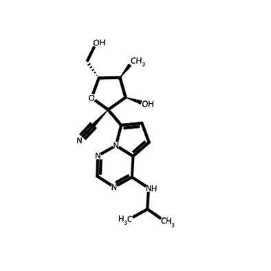 CC(C)Nc1ncnn2c([C@]3(C#N)O[C@H](CO)[C@@H](C)[C@H]3O)ccc12